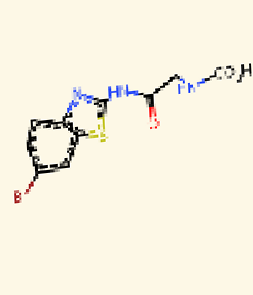 O=C(O)NCC(=O)Nc1nc2ccc(Br)cc2s1